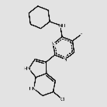 Fc1cnc(C2=CNC3NCC(Cl)C=C23)nc1NC1CCCCC1